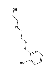 OCCNCCN=Cc1ccccc1O